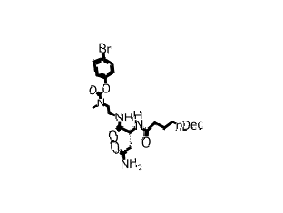 CCCCCCCCCCCCCC(=O)N[C@H](CC(N)=O)C(=O)NCCN(C)C(=O)Oc1ccc(Br)cc1